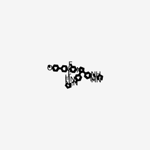 COc1ccc(C2CCN(c3c(F)cc(-n4ccc(-c5ccc6nc([C@@H]7CCCN7)[nH]c6c5)c4-c4ccc5nc([C@@H]6CCCN6)[nH]c5c4)cc3F)CC2)cc1